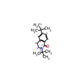 CC(C)(C)c1ccc2c(c1)CCN(C(C)(C)C)C2=O